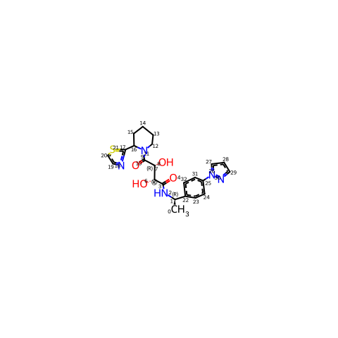 C[C@@H](NC(=O)[C@H](O)[C@@H](O)C(=O)N1CCCCC1c1nccs1)c1ccc(-n2cccn2)cc1